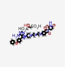 Nc1ncnc2c1c(-c1ccc(Oc3ccccc3)cc1)nn2C1CCN(C2CN(C3CN(c4ccc5c(c4)C(=O)N(C4CCC(=O)NC4=O)C5=O)C3)C2)CC1.O=C(O)C[C@H](O)C(=O)O